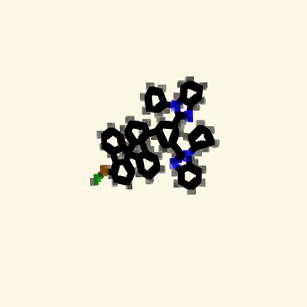 FSc1cccc2c1-c1ccccc1C21c2ccccc2-c2c(-c3cc(-c4nc5ccccc5n4-c4ccccc4)cc(-c4nc5ccccc5n4-c4ccccc4)c3)cccc21